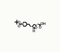 CC(C)(C)OC(=O)N1CCC(CC[C@H]2C[C@H](CC(=O)O)ON2)CC1